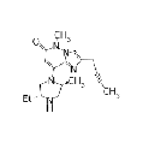 CC#CCc1cn2c(n1)c(N1C[C@@H](CC)NC[C@@H]1C)cc(=O)n2C